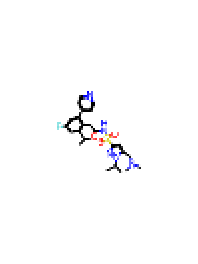 CC(C)c1cc(F)cc(-c2ccncc2)c1CC(=O)NS(=O)(=O)c1cc(CN(C)C)n(C(C)C)n1